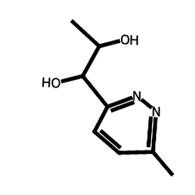 Cc1ccc(C(O)C(C)O)nn1